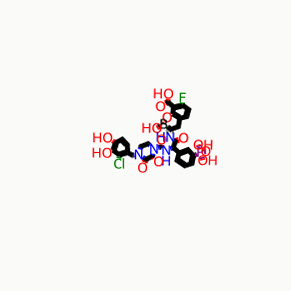 O=C(O)c1c(F)ccc2c1OB(O)[C@@H](NC(=O)C(NC(=O)N1CCN(Cc3ccc(O)c(O)c3Cl)C(=O)C1=O)c1cccc(P(=O)(O)O)c1)C2